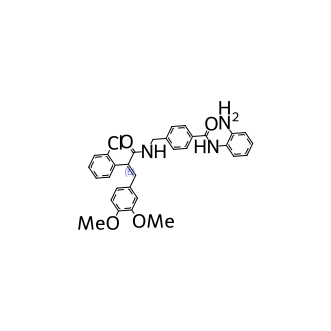 COc1ccc(/C=C(/C(=O)NCc2ccc(C(=O)Nc3ccccc3N)cc2)c2ccccc2Cl)cc1OC